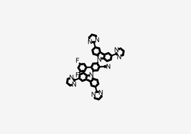 N#Cc1cc(-n2c3ccc(-c4ncccn4)cc3c3cc(-c4ncccn4)ccc32)c(-c2cc(F)cc(F)c2)cc1-n1c2ccc(-c3ncccn3)cc2c2cc(-c3ncccn3)ccc21